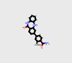 COc1cc(-c2ccc3c(c2)Nc2ccccc2NC3=O)ccc1C(N)=O